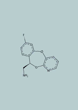 NC[C@@H]1Oc2ncccc2Oc2cc(F)ccc21